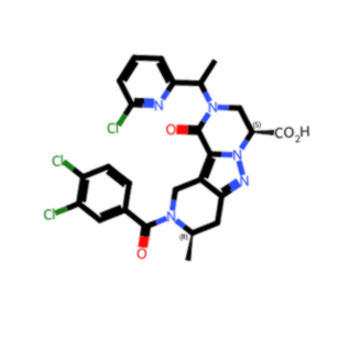 CC(c1cccc(Cl)n1)N1C[C@@H](C(=O)O)n2nc3c(c2C1=O)CN(C(=O)c1ccc(Cl)c(Cl)c1)[C@H](C)C3